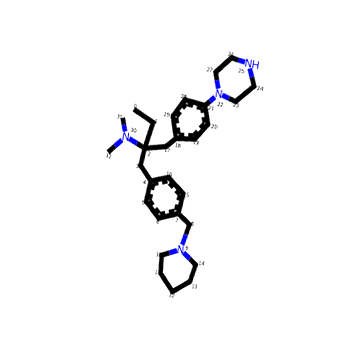 CCC(Cc1ccc(CN2CCCCC2)cc1)(Cc1ccc(N2CCNCC2)cc1)N(C)C